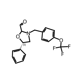 O=CC1O[C@@H](c2ccccc2)CN1Cc1ccc(OC(F)(F)F)cc1